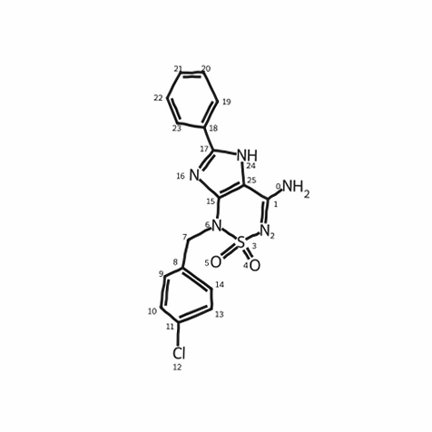 NC1=NS(=O)(=O)N(Cc2ccc(Cl)cc2)c2nc(-c3ccccc3)[nH]c21